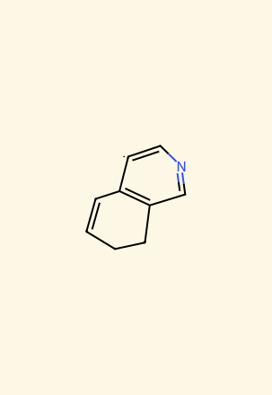 [c]1cncc2c1C=CCC2